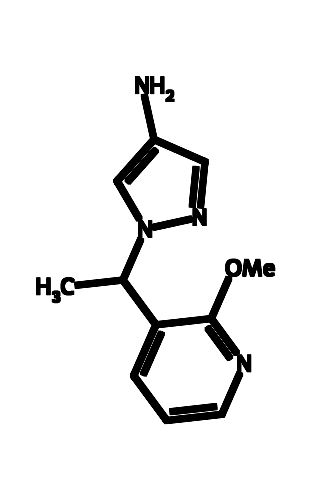 COc1ncccc1C(C)n1cc(N)cn1